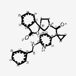 O=C1O[C@]2(CCN(C(=O)C3(c4ccc(OCc5ccccc5)nc4)CC3)C2)c2ccccc21